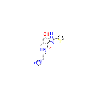 CC1CC(O)=c2[nH]c(-c3cccs3)nc2=C1C(=O)NCCCn1ccnc1